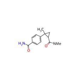 CNC(=O)C1CC1(C)c1ccc(C(N)=O)cc1